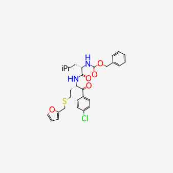 CC(C)C[C@H](NC(=O)OCc1ccccc1)C(=O)N[C@@H](CCSCc1ccco1)C(=O)c1ccc(Cl)cc1